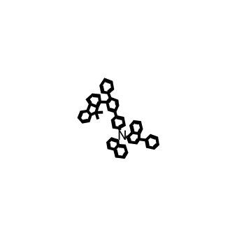 CC1(C)c2c(-c3cc(-c4ccc(N(c5cccc6ccccc56)c5ccc(-c6ccccc6)c6ccccc56)cc4)ccc3-c3ccccc3)cccc2C2C=CC=CC21